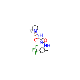 Cc1ccc(C(F)(F)F)cc1Nc1nc(C(=O)NSN2CCCCC23CC3)co1